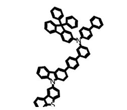 C1=C(c2ccc(-c3cccc(N(c4ccc(-c5ccccc5)cc4)c4ccc5c(c4)C(c4ccccc4)(c4ccccc4)c4ccccc4-5)c3)cc2)CCc2c1c1ccccc1n2-c1ccc2sc3ccccc3c2c1